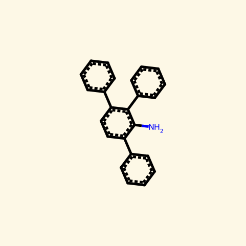 Nc1c(-c2ccccc2)ccc(-c2ccccc2)c1-c1ccccc1